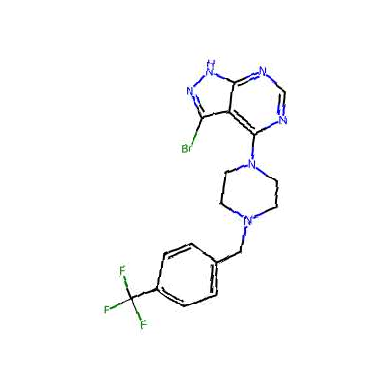 FC(F)(F)c1ccc(CN2CCN(c3ncnc4[nH]nc(Br)c34)CC2)cc1